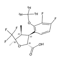 [2H]C([2H])([2H])Oc1c([C@H]2[C@H](C(=O)O)O[C@@](C)(C(F)(F)F)[C@H]2C)ccc(F)c1F